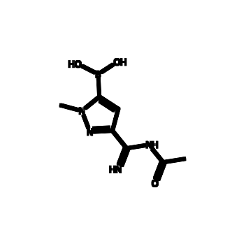 CC(=O)NC(=N)c1cc(B(O)O)n(C)n1